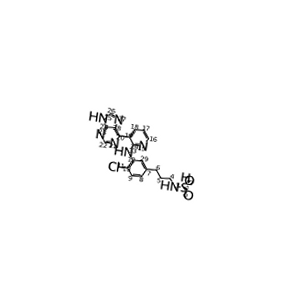 O=[SH](=O)NCCCc1ccc(Cl)c(Nc2ncccc2-c2ncnc3[nH]cnc23)c1